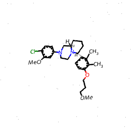 COCCCOc1ccc([C@H]2CCC[C@H]3CN(c4ccc(Cl)c(OC)c4)CCN32)c(C)c1C